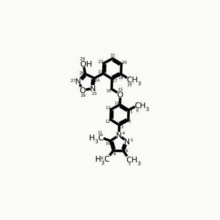 Cc1cc(-n2nc(C)c(C)c2C)ccc1OCc1c(C)cccc1-c1nonc1O